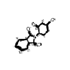 O=C1CCC(N2C(=O)c3ccccc3C2=O)C(=O)C1